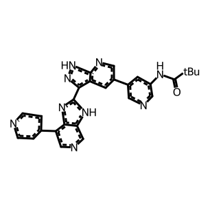 CC(C)(C)C(=O)Nc1cncc(-c2cnc3[nH]nc(-c4nc5c(-c6ccncc6)cncc5[nH]4)c3c2)c1